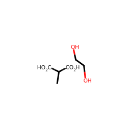 CC(C(=O)O)C(=O)O.OCCO